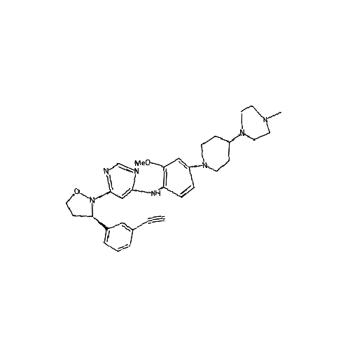 C#Cc1cccc([C@H]2CCON2c2cc(Nc3ccc(N4CCC(N5CCN(C)CC5)CC4)cc3OC)ncn2)c1